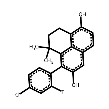 CC1(C)CCc2c(O)ccc3cc(O)c(-c4ccc(Cl)cc4F)c1c23